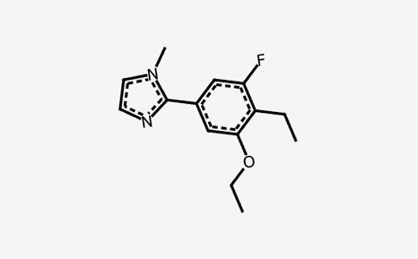 CCOc1cc(-c2nccn2C)cc(F)c1CC